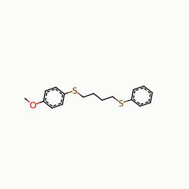 COc1ccc(SCCCCSc2ccccc2)cc1